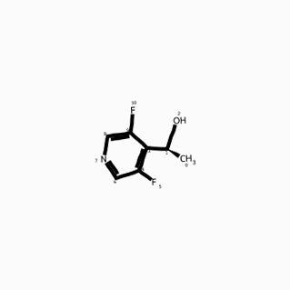 C[C@H](O)c1c(F)cncc1F